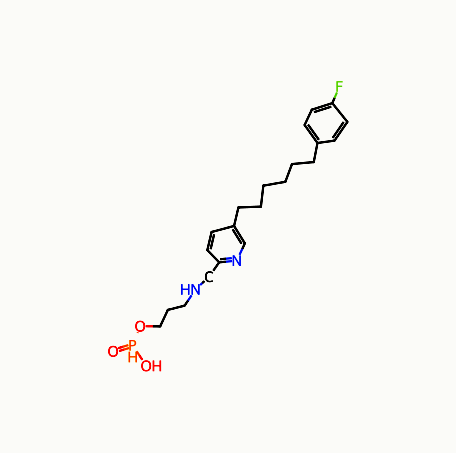 O=[PH](O)OCCCNCc1ccc(CCCCCCc2ccc(F)cc2)cn1